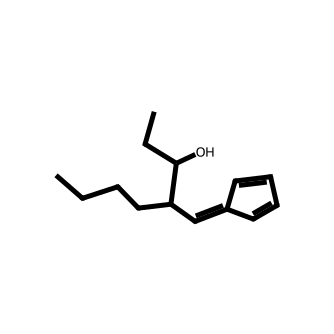 CCCCC(C=C1C=CC=C1)C(O)CC